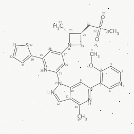 COc1ccncc1-c1cc2c(cnn2-c2cc(N3C[C@H](CS(C)(=O)=O)[C@H]3C)cc(-c3cccs3)n2)c(C)n1